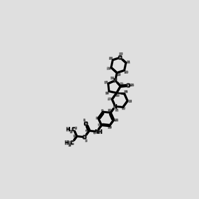 CC(C)OC(=O)Nc1ccc(N2CCC[C@]3(CCN(C4CCOCC4)C3=O)C2)cc1